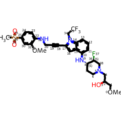 COCC(O)CN1CC[C@H](Nc2cccc3c2cc(C#CCNc2ccc(S(C)(=O)=O)cc2OC)n3CC(F)(F)F)[C@@H](F)C1